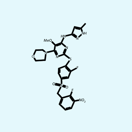 COc1c(Nc2cc(C)[nH]n2)nc(Sc2ccc(S(=O)(=O)Cc3cccc([N+](=O)[O-])c3F)cc2F)nc1N1CCOCC1